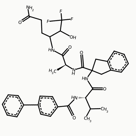 CC(C)[C@H](NC(=O)c1ccc(-c2ccccc2)cc1)C(=O)NC1(C(=O)N[C@@H](C)C(=O)NC(CCC(N)=O)C(O)C(F)(F)F)Cc2ccccc2C1